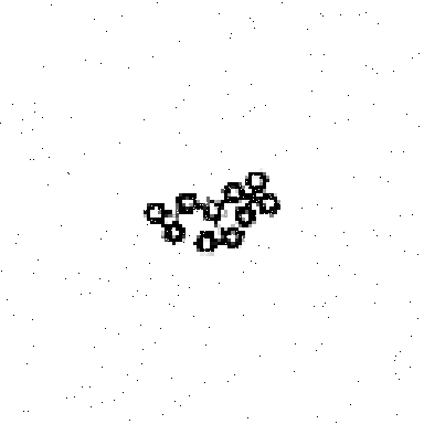 c1ccc(C(c2ccccc2)(c2ccccc2)c2cccc(-c3nc(-c4cccc(-n5c6ccccc6c6ccccc65)c4)cc(-n4c5ccccc5c5ccccc54)n3)c2)cc1